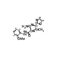 COc1ccccc1CNC(=O)c1nc(C)c(-c2ncco2)nc1N